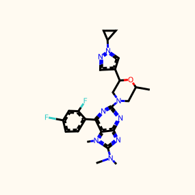 CC1CN(c2nc(-c3ccc(F)cc3F)c3c(n2)nc(N(C)C)n3C)CC(c2cnn(C3CC3)c2)O1